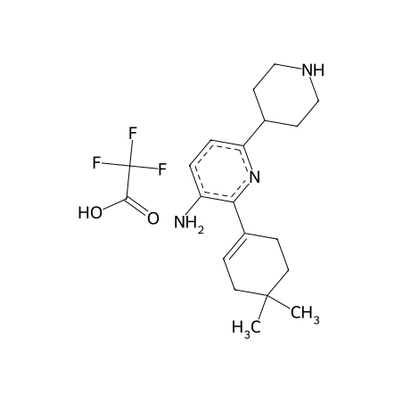 CC1(C)CC=C(c2nc(C3CCNCC3)ccc2N)CC1.O=C(O)C(F)(F)F